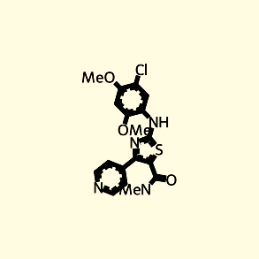 CNC(=O)c1sc(Nc2cc(Cl)c(OC)cc2OC)nc1-c1ccncc1